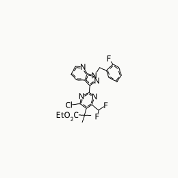 CCOC(=O)C(C)(C)c1c(Cl)nc(-c2nn(Cc3ccccc3F)c3ncccc23)nc1C(F)F